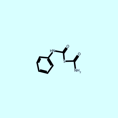 NC(=O)SC(=O)Nc1ccccc1